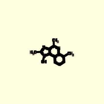 Cc1cccc2c1nc(C)c1nc(C)n(O)c12